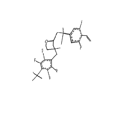 C=Cc1c(F)cc(C(C)(C)CC2OCC2(C)Cc2c(F)c(F)c(C(C)(C)C)c(F)c2F)cc1F